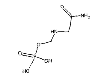 NC(=O)CNCOP(=O)(O)O